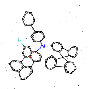 Fc1cccc(-c2cccc3cccc(-c4ccc(N(c5ccc(-c6ccccc6)cc5)c5ccc6c(c5)C5(c7ccccc7-c7ccccc75)c5ccccc5-6)cc4)c23)c1